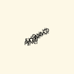 O=S(=O)(c1ccc(C(F)(F)F)nc1Cl)N1CC2(CN(C3CCOCC3)C2)C1